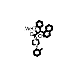 COc1ccccc1C(c1cccc2ccccc12)[C@](C)(C#N)C(=O)N1CCN(c2ccccc2C)CC1